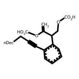 C=C(OC(=O)O)C(COC(=O)O)c1ccccc1C#CCCCCCCCCCCC